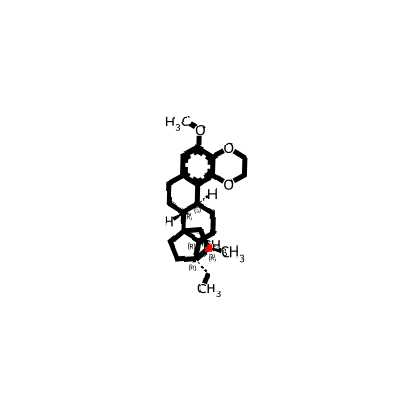 CC[C@@]12CCC3(C[C@H]1C)[C@@H]1CCc4cc(OC)c5c(c4[C@H]1CC[C@@]32C)OCCO5